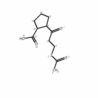 CC(=O)SCCC(=O)C1CCCC1C(=O)O